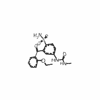 CCOc1ccccc1C(=O)c1cc(NC(=O)NC)ccc1S(N)(=O)=O